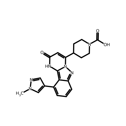 Cn1cc(-c2cccc3nn4c(C5CCN(C(=O)O)CC5)cc(=O)[nH]c4c23)cn1